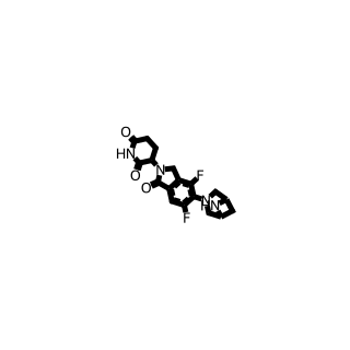 O=C1CCC(N2Cc3c(cc(F)c(N4CC5CC(C4)N5)c3F)C2=O)C(=O)N1